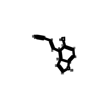 N#C/C=C/c1c(Cl)ccc2occc12